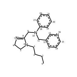 CCCCN1CCN=C1CN(Cc1cccnc1)c1ccccc1